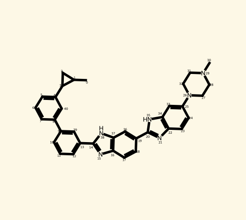 CC1CC1c1cccc(-c2cccc(-c3nc4ccc(-c5nc6ccc(N7CCN(C)CC7)cc6[nH]5)cc4[nH]3)c2)c1